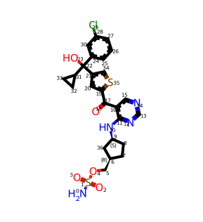 NS(=O)(=O)OC[C@@H]1CC[C@H](Nc2ncncc2C(=O)c2cc(C(O)(c3cccc(Cl)c3)C3CC3)cs2)C1